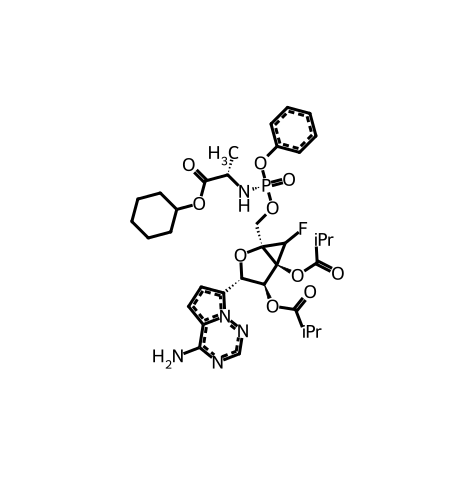 CC(C)C(=O)O[C@H]1[C@H](c2ccc3c(N)ncnn23)O[C@@]2(CO[P@@](=O)(N[C@@H](C)C(=O)OC3CCCCC3)Oc3ccccc3)C(F)[C@]12OC(=O)C(C)C